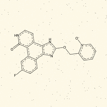 O=c1[nH]ccc2c3[nH]c(OCc4cccc[n+]4[O-])nc3c3ccc(F)cc3c12